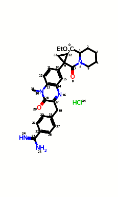 CCOC(=O)C1CCCCN1C(=O)C1(c2ccc3c(c2)nc(Cc2ccc(C(=N)N)cc2)c(=O)n3C)CC1.Cl